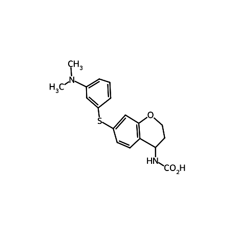 CN(C)c1cccc(Sc2ccc3c(c2)OCCC3NC(=O)O)c1